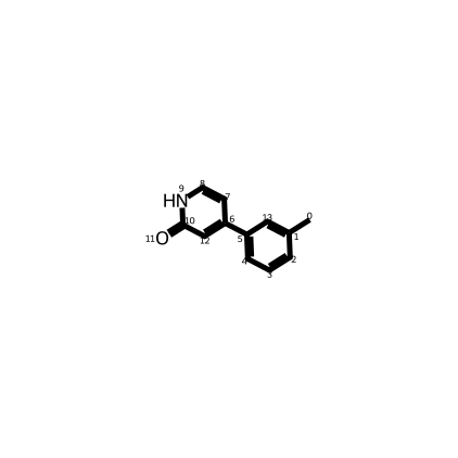 Cc1cccc(-c2cc[nH]c(=O)c2)c1